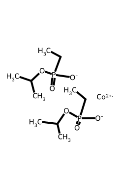 CCP(=O)([O-])OC(C)C.CCP(=O)([O-])OC(C)C.[Co+2]